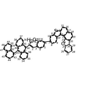 C/C(=C\c1ccc(-c2ccc3c(c2)sc2ccc4ccc5c(c4c23)OC2C=CC=CC52)cc1C)c1c2ccccc2c(-c2cccc3ccccc23)c2ccccc12